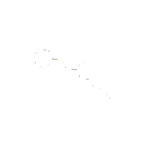 CCCCCCCCCCOCC(O)CSC1CCCCC1